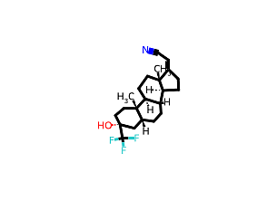 C[C@]12CC[C@](O)(C(F)(F)F)C[C@H]1CC[C@@H]1[C@@H]2CC[C@]2(C)/C(=C\C#N)CC[C@@H]12